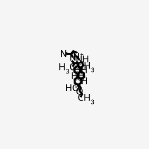 CCOC[C@@]1(O)CC[C@H]2[C@H](CC[C@@H]3[C@@H]2CC[C@@]2(C)[C@H]3CC[C@@]23N[n+]2ccc(C#N)n2CC3C)C1